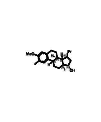 COc1cc2c(cc1C)[C@H]1CC[C@@]3(C)[C@H]([C@@H]1CC2)[C@@H](C(C)C)C[C@@H]3O